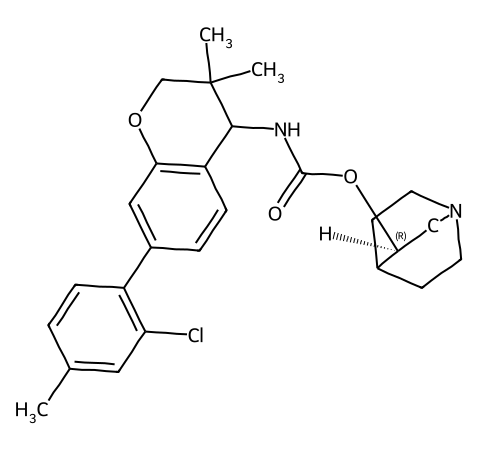 Cc1ccc(-c2ccc3c(c2)OCC(C)(C)C3NC(=O)O[C@H]2CN3CCC2CC3)c(Cl)c1